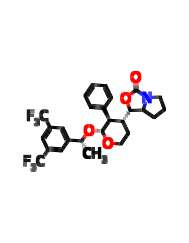 C[C@@H](O[C@H]1OCC[C@@H](C2OC(=O)N3CCCC23)[C@@H]1c1ccccc1)c1cc(C(F)(F)F)cc(C(F)(F)F)c1